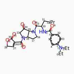 CCN(CC)c1ccc(C(=O)NC(CC(C)C)C(=O)N2CCC3C2C(=O)CN3C(=O)C2=CCOC2=O)cc1